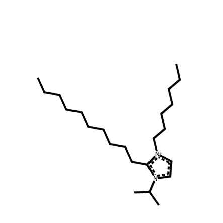 CCCCCCCCCCc1n(C(C)C)cc[n+]1CCCCCCC